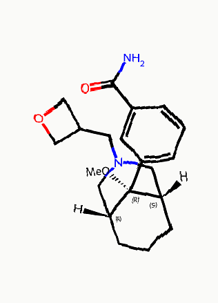 CO[C@@]1(c2cccc(C(N)=O)c2)[C@@H]2CCC[C@H]1CN(CC1COC1)C2